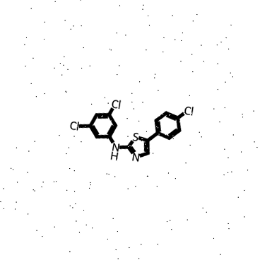 Clc1ccc(-c2cnc(Nc3cc(Cl)cc(Cl)c3)s2)cc1